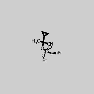 CCCSP(=O)(OCC)OC(C)(C#N)C1CC1